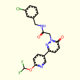 O=C(Cn1nc(-c2ccc(OC(F)F)nc2)ccc1=O)NCc1cccc(Cl)c1